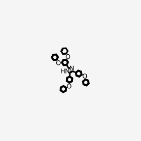 C1=CCCC(Oc2cc(Oc3ccccc3)cc(-c3nc(-c4ccc(Oc5ccccc5)cc4)c(-c4ccc(Oc5ccccc5)cc4)[nH]3)c2)=C1